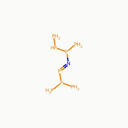 PPP(P)/N=P/P(P)P